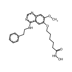 COc1cc2ncnc(NCCc3ccccc3)c2cc1OCCCCCC(=O)NO